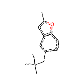 Cc1cc2cc(CC(C)(C)C)ccc2o1